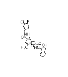 Cc1cc(C(=O)NCc2ccc(F)c(Cl)c2)nc2cc(C(=O)N[C@@H]3c4ccccc4C[C@@H]3O)nn12